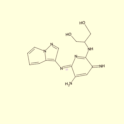 N=C1C=C(N)/C(=N/c2cnn3ccccc23)N=C1NC(CO)CO